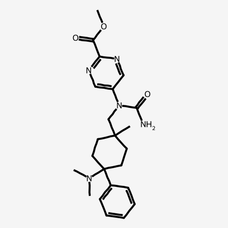 COC(=O)c1ncc(N(CC2(C)CCC(c3ccccc3)(N(C)C)CC2)C(N)=O)cn1